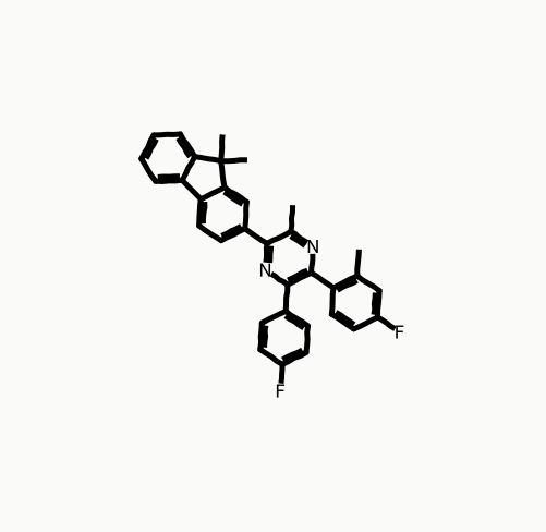 Cc1cc(F)ccc1-c1nc(C)c(-c2ccc3c(c2)C(C)(C)c2ccccc2-3)nc1-c1ccc(F)cc1